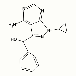 Nc1ncnc2c1c(C(O)c1ccccc1)nn2C1CC1